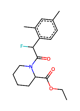 CCOC(=O)C1CCCCN1C(=O)C(F)c1ccc(C)cc1C